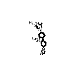 C=CN(CC(C)N)c1ccc2c(c1)[nH]c1cc(-n3ccnc3)ccc12